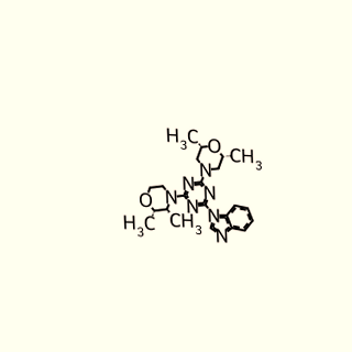 C[C@@H]1CN(c2nc(N3CCO[C@@H](C)[C@@H]3C)nc(-n3cnc4ccccc43)n2)C[C@H](C)O1